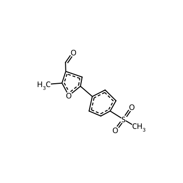 Cc1oc(-c2ccc(S(C)(=O)=O)cc2)cc1C=O